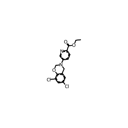 CCOC(=O)c1ccc(N2COc3c(Cl)cc(Cl)cc3C2)cn1